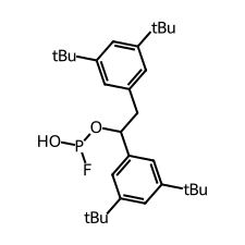 CC(C)(C)c1cc(CC(OP(O)F)c2cc(C(C)(C)C)cc(C(C)(C)C)c2)cc(C(C)(C)C)c1